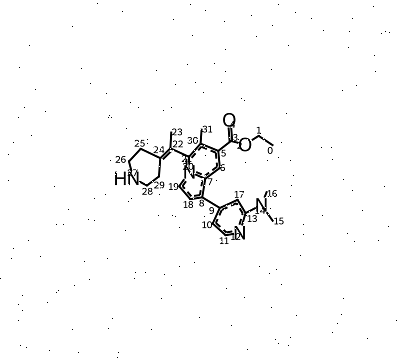 CCOC(=O)c1cc2c(-c3ccnc(N(C)C)c3)ccn2c(C(C)=C2CCNCC2)c1C